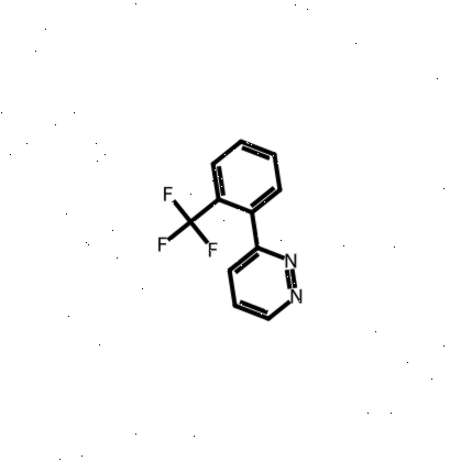 FC(F)(F)c1ccccc1-c1cccnn1